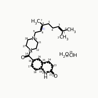 CC(C)=CCC/C(C)=C/CN1CCN(C(=O)c2ccc3[nH]c(=O)ccc3c2)CC1.Cl.O